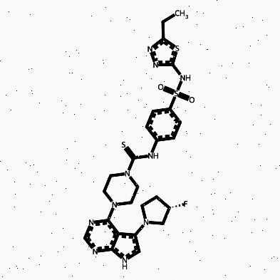 CCc1nnc(NS(=O)(=O)c2ccc(NC(=S)N3CCN(c4ncnc5[nH]cc(N6CC[C@H](F)C6)c45)CC3)cc2)s1